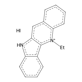 CC[n+]1c2ccccc2cc2[nH]c3ccccc3c21.I